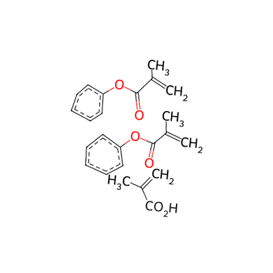 C=C(C)C(=O)O.C=C(C)C(=O)Oc1ccccc1.C=C(C)C(=O)Oc1ccccc1